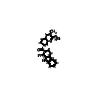 CCNC(=O)N(C)C[C@H]1CC[C@H](C(=O)N2CCc3c([nH]c4ccccc34)C2C(C)C)CC1